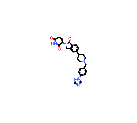 O=C1CCC(N2Cc3cc(C4CCN(Cc5ccc(-n6cncn6)cc5)CC4)ccc3C2=O)C(=O)N1